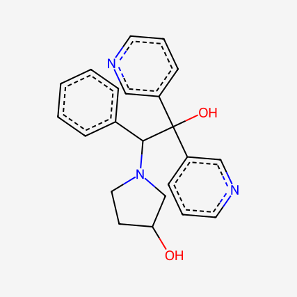 OC1CCN(C(c2ccccc2)C(O)(c2cccnc2)c2cccnc2)C1